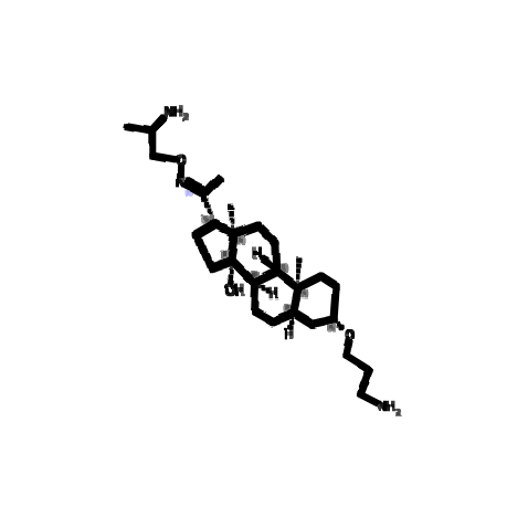 C/C(=N\OCC(C)N)[C@H]1CC[C@]2(O)[C@@H]3CC[C@@H]4C[C@@H](OCCCN)CC[C@]4(C)[C@H]3CC[C@]12C